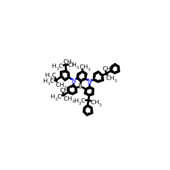 Cc1cc2c3c(c1)N(c1cc(C(C)(C)C)cc(C(C)(C)C)c1)c1cc(C(C)(C)C)ccc1B3c1cc(C(C)(C)c3ccccc3)ccc1N2c1ccc(C(C)(C)c2ccccc2)cc1